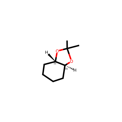 CC1(C)O[C@H]2CCCC[C@@H]2O1